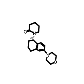 O=C1CCCCN1[C@H]1CCCc2cc(N3CCOCC3)ccc21